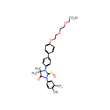 CCOC(=O)COCCOCCOc1ccc(-c2ccc(N3C(=S=O)N(c4ccc(C#N)c(C(F)(F)F)c4)C(=O)C3(C)C)cc2)cc1